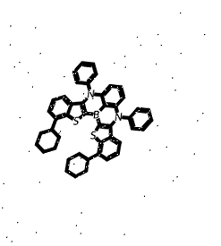 c1ccc(N2c3cccc4c3B(c3sc5c(C6CCCCC6)cccc5c32)c2sc3c(C5CCCCC5)cccc3c2N4c2ccccc2)cc1